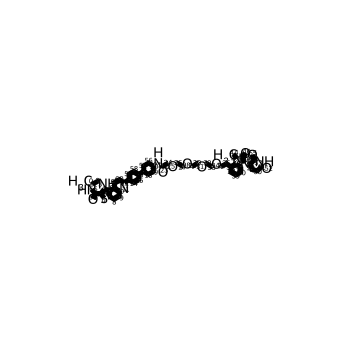 C[C@@H]1CNc2c(sc3ccc4nc(-c5ccc(C6CCC(NC(=O)COCCOCCOCCOCCc7cccc8c7n(C)c(=O)n8C7CCC(=O)NC7=O)CC6)cc5)ccc4c23)C(=O)N1